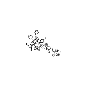 C[C@@H](CNC(=O)CC(CN1C(=O)CC(SC[C@H](N)C(=O)O)C1=O)S(=O)(=O)O)NC(=O)N(C[C@@H]1CNC[C@@H]1F)[C@@H](c1nc(-c2cc(F)ccc2F)cn1Cc1ccccc1)C1CCOCC1